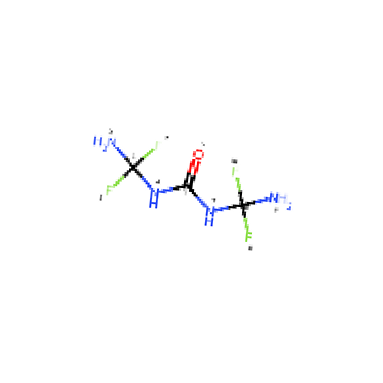 NC(F)(F)NC(=O)NC(N)(F)F